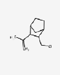 C=C(C)C1C2CCC(C2)C1CCl